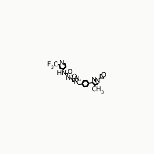 Cc1cn(C2COC2)nc1-c1ccc(C[n+]2cc([N-]C(=O)Nc3ccnc(C(F)(F)F)c3)on2)cc1